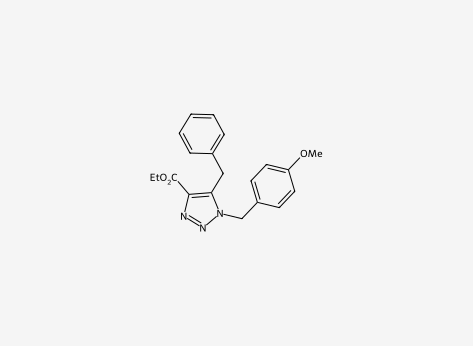 CCOC(=O)c1nnn(Cc2ccc(OC)cc2)c1Cc1ccccc1